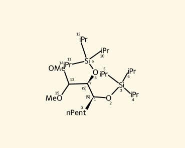 CCCCC[C@H](O[Si](C(C)C)(C(C)C)C(C)C)[C@H](O[Si](C(C)C)(C(C)C)C(C)C)C(OC)OC